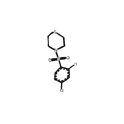 O=S(=O)(c1ccc(Cl)cc1Cl)N1CCSCC1